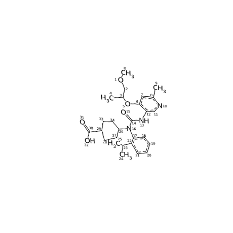 COCC(C)Oc1cc(C)ncc1NC(=O)N(c1ccccc1C(C)C)C1CCC(C(=O)O)CC1